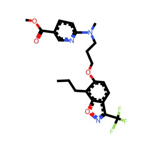 CCCc1c(OCCCN(C)c2ccc(C(=O)OC)cn2)ccc2c(C(F)(F)F)noc12